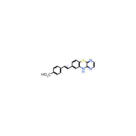 O=C(O)c1ccc(/C=C/c2ccc3c(c2)Nc2nccnc2S3)cc1